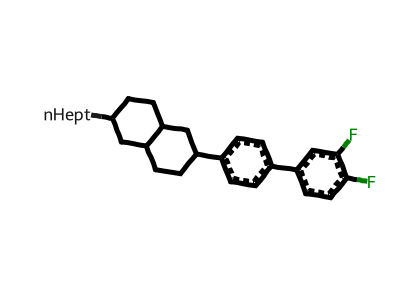 CCCCCCCC1CCC2CC(c3ccc(-c4ccc(F)c(F)c4)cc3)CCC2C1